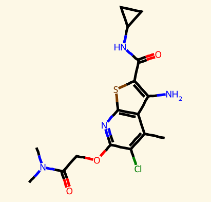 Cc1c(Cl)c(OCC(=O)N(C)C)nc2sc(C(=O)NC3CC3)c(N)c12